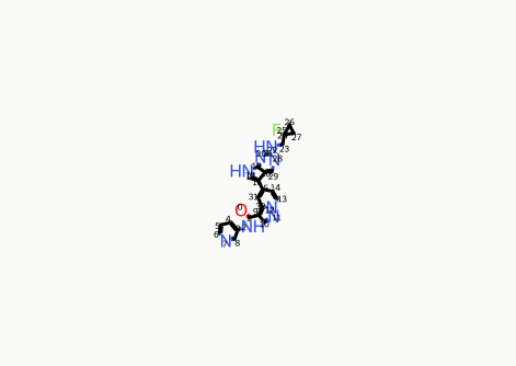 O=C(Nc1cccnc1)c1cnn2ccc(-c3c[nH]c4nc(NCC5(F)CC5)ncc34)cc12